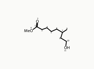 COC(=O)CCCCC(C)CCO